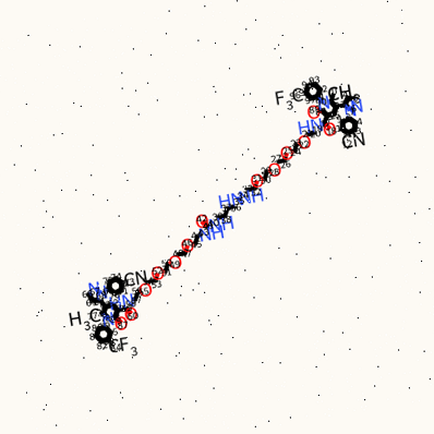 Cc1c(-c2ccnn2-c2ccc(C#N)cc2)cc(C(=O)NCCOCCOCCOCCOCCNNCCCCNC(=O)NCCOCCOCCOCCOCCNC(=O)c2cc(-c3ccnn3-c3ccc(C#N)cc3)c(C)n(-c3cccc(C(F)(F)F)c3)c2=O)c(=O)n1-c1cccc(C(F)(F)F)c1